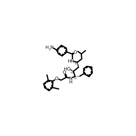 Cc1cccc(C)c1OCC(=O)N[C@@H](Cc1ccccc1)[C@@H](O)C[C@H](CC(C)C)NC(=O)c1ccc(N)cc1